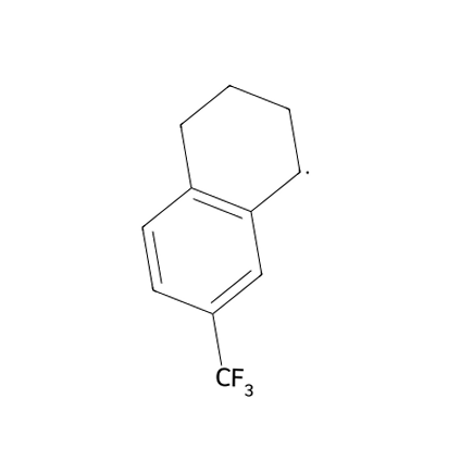 FC(F)(F)c1ccc2c(c1)[CH]CCC2